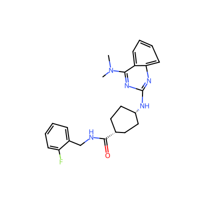 CN(C)c1nc(N[C@H]2CC[C@@H](C(=O)NCc3ccccc3F)CC2)nc2ccccc12